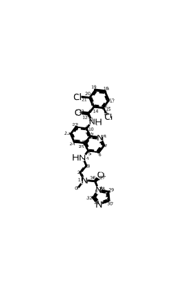 CN(CCNc1ccnc2c(NC(=O)c3c(Cl)cccc3Cl)cccc12)C(=O)n1ccnc1